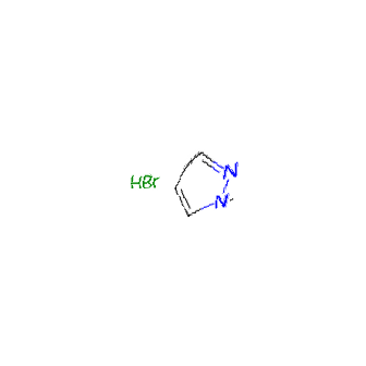 Br.C1=C[N]N=C1